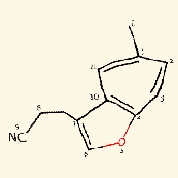 Cc1ccc2occ(CC#N)c2c1